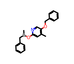 CB(Cc1ccccc1)Oc1cc(C)c(OCc2ccccc2)cn1